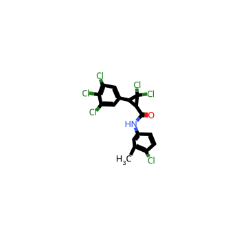 Cc1cc(NC(=O)C2C(c3cc(Cl)c(Cl)c(Cl)c3)C2(Cl)Cl)ccc1Cl